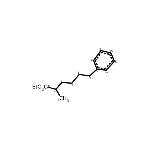 CCOC(=O)C(C)CCCCc1ccccc1